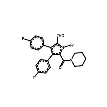 CC(C)n1c(C=O)c(-c2ccc(F)cc2)c(-c2ccc(F)cc2)c1C(=O)N1CCCCC1